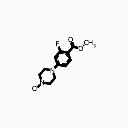 COC(=O)c1ccc(N2CCN(Cl)CC2)cc1F